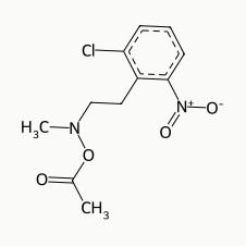 CC(=O)ON(C)CCc1c(Cl)cccc1[N+](=O)[O-]